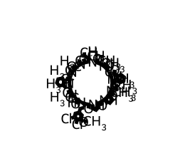 CC[C@H](C)[C@@H]1NC(=O)[C@H](C)N(C)C(=O)C[C@@H](C(=O)N2CCCCC2)N(C)C(=O)[C@H](C(C)C)N(C)C(=O)C2(CCCC2)NC(=O)[C@@H]2CCCN2C(=O)[C@H](CCc2cc(Cl)c(Cl)c(OC)c2)NC(=O)CN(C)C(=O)[C@H](CC2CCCCC2)N(C)C(=O)CN(C)C(=O)CN(C)C1=O